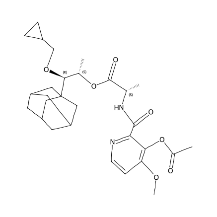 COc1ccnc(C(=O)N[C@@H](C)C(=O)O[C@@H](C)[C@H](OCC2CC2)C23CC4CC(CC(C4)C2)C3)c1OC(C)=O